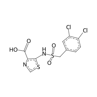 O=C(O)c1ncsc1NS(=O)(=O)Cc1ccc(Cl)c(Cl)c1